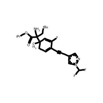 CC(C)OC(=O)C(N)(CC(C)(C)C)C1(C)C=C(F)C(C#Cc2cnn(C(F)F)c2)=CC1